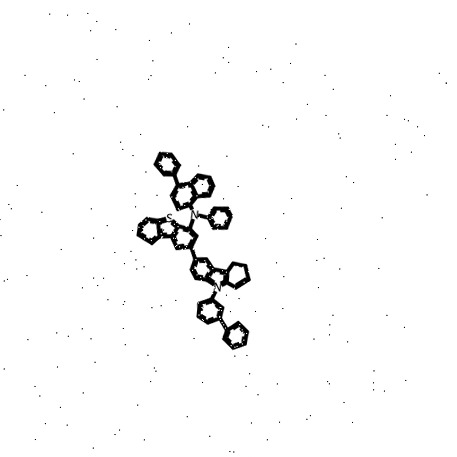 C1=Cc2c(c3cc(-c4cc(N(c5ccccc5)c5ccc(-c6ccccc6)c6ccccc56)c5sc6ccccc6c5c4)ccc3n2-c2cccc(-c3ccccc3)c2)CC1